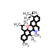 Cc1ccc2c(CC(C)C)c3c(c(C)c2c1)-c1c2c(cc4c([Si](C)(C)C)cccc4c2cc[n+]1C)O3